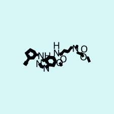 C#Cc1cccc(Nc2ncnc3cc(OC)c(NC(=O)/C=C/CN(C)CC(=O)OCC)cc23)c1